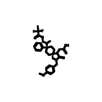 COc1ccc(CN2C[C@]3(CC[C@](c4ccccc4)(N(C)COC(=O)C(F)(F)F)CC3)N(CC(=O)O)C2=O)cc1